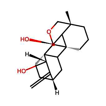 C=C1[C@H]2CC[C@]3(C(C2)[C@@]24CCC[C@@](C)(COC2)C4C[C@H]3O)[C@H]1O